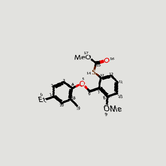 CCc1ccc(OCc2c(OC)cccc2SC(=O)OC)c(C)c1